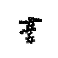 COc1cc(C(=O)C(CCc2ccccc2)NCC[O])cc(OC)c1C